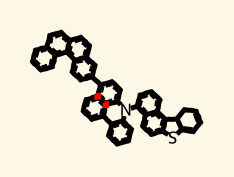 C1=CCC2C(=C1)Sc1ccc3c(N(c4ccc(-c5ccc6c(ccc7ccc8ccccc8c76)c5)cc4)c4ccccc4-c4ccccc4)cccc3c12